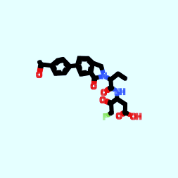 CCC(C(=O)NC(CC(=O)O)C(=O)CF)N1Cc2ccc(-c3ccc(C(C)=O)cc3)cc2C1=O